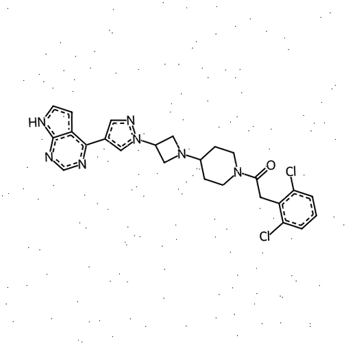 O=C(Cc1c(Cl)cccc1Cl)N1CCC(N2CC(n3cc(-c4ncnc5[nH]ccc45)cn3)C2)CC1